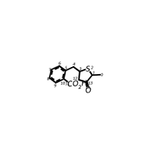 CC1SC(Cc2ccccc2C(=O)O)CC1=O